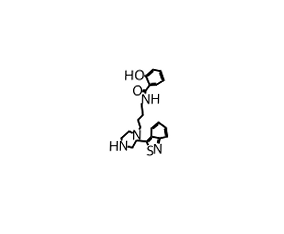 O=C(NCCCCN1CCNCC1c1snc2ccccc12)c1ccccc1O